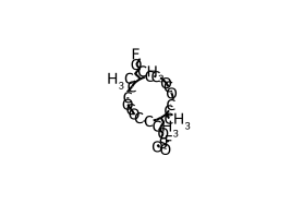 CC1CCCOCOCCCC(C)C(CCOCS(=O)(=O)F)C(C)CCCOCOCCCC(C)C1CCOCF